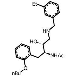 CCCCOc1ccccc1C[C@H](NC(C)=O)[C@H](O)CNCc1cccc(CC)c1